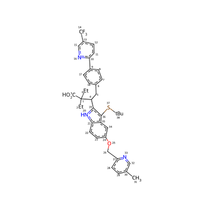 CCC(CC)(C(=O)O)C(Cc1ccc(-c2ccc(C(F)(F)F)cn2)cc1)c1[nH]c2ccc(OCc3ccc(C)cn3)cc2c1SC(C)(C)C